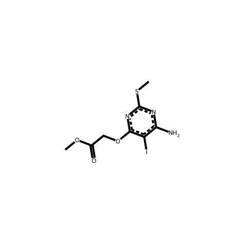 COC(=O)COc1nc(SC)nc(N)c1I